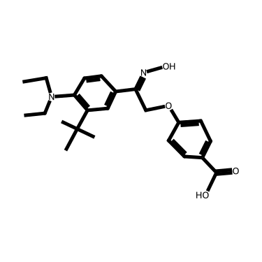 CCN(CC)c1ccc(/C(COc2ccc(C(=O)O)cc2)=N/O)cc1C(C)(C)C